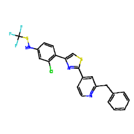 FC(F)(F)SNc1ccc(-c2csc(-c3ccnc(Cc4ccccc4)c3)n2)c(Cl)c1